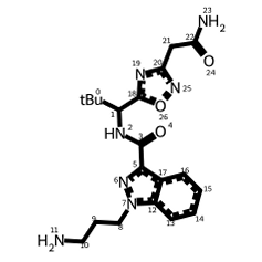 CC(C)(C)C(NC(=O)c1nn(CCCN)c2ccccc12)c1nc(CC(N)=O)no1